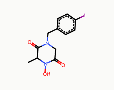 CC1C(=O)N(Cc2ccc(I)cc2)CC(=O)N1O